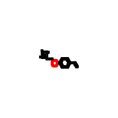 C=Cc1ccc(OCC[Si](C)(C)C)cc1